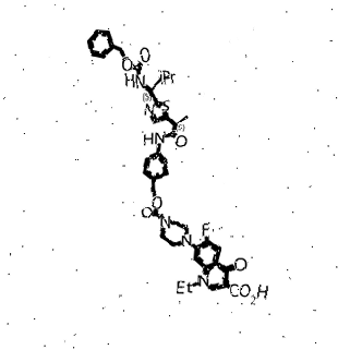 CCn1cc(C(=O)O)c(=O)c2cc(F)c(N3CCN(C(=O)OCc4ccc(NC(=O)[C@H](C)c5cnc([C@@H](NC(=O)OCc6ccccc6)C(C)C)s5)cc4)CC3)cc21